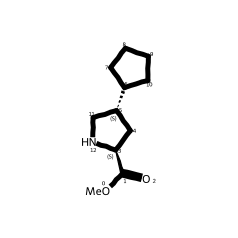 COC(=O)[C@@H]1C[C@@H](C2CCCC2)CN1